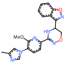 COc1nc(C2=NOCC(c3noc4ccccc34)N2)ccc1-n1cnc(C)c1